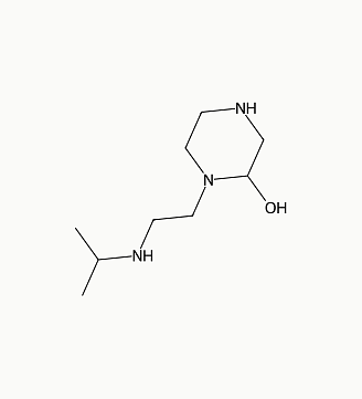 CC(C)NCCN1CCNCC1O